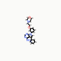 Nc1ncnc2c1c(-c1ccccc1)cn2-c1cccc(OCCN2CCOCC2)c1